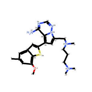 COc1cc(C)cc2cc(-c3cc(CN(C)CCCN(C)C)n4ncnc(N)c34)sc12